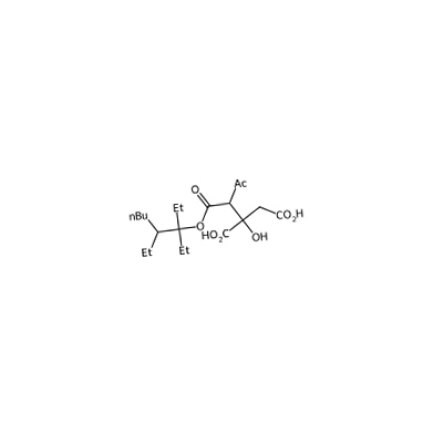 CCCCC(CC)C(CC)(CC)OC(=O)C(C(C)=O)C(O)(CC(=O)O)C(=O)O